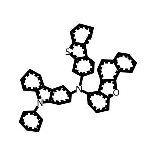 c1ccc(-n2c3ccccc3c3cc(N(c4ccc5c(c4)sc4ccccc45)c4cccc5oc6c7ccccc7ccc6c45)ccc32)cc1